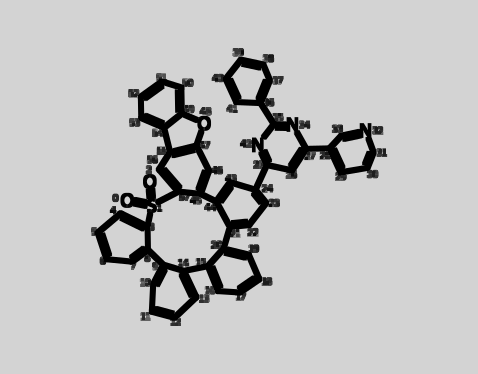 O=S1(=O)c2ccccc2-c2ccccc2-c2ccccc2-c2ccc(-c3cc(-c4cccnc4)nc(-c4ccccc4)n3)cc2-c2cc3oc4ccccc4c3cc21